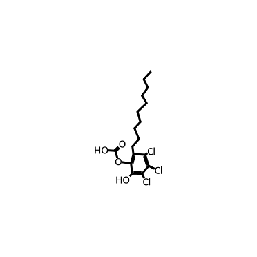 CCCCCCCCCCc1c(Cl)c(Cl)c(Cl)c(O)c1OC(=O)O